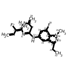 C=C/C(F)=C(N)\N=C(/CC(=C)N)Nc1cc(F)c2c(c1)c(CC)nn2C